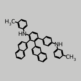 Cc1cccc(Nc2ccc(-c3ccc(Nc4cccc(C)c4)c(-c4ccc5ccccc5c4)c3-c3ccc4ccccc4c3)cc2)c1